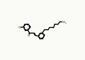 CCCCCCCCc1cccc(C=CC(=O)c2cccc(Cl)c2)c1